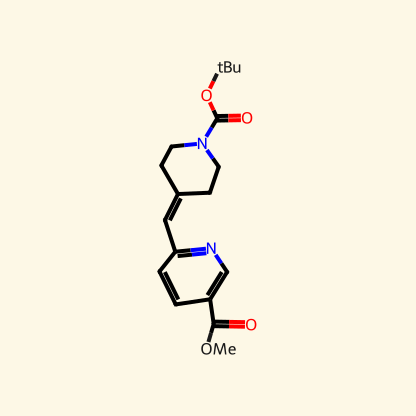 COC(=O)c1ccc(C=C2CCN(C(=O)OC(C)(C)C)CC2)nc1